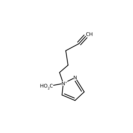 C#CCCC[N+]1(C(=O)O)C=CC=N1